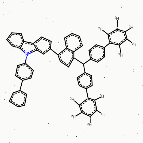 [2H]c1c([2H])c([2H])c(-c2ccc(C(c3ccc(-c4c([2H])c([2H])c([2H])c([2H])c4[2H])cc3)c3ccc(-c4ccc5c6ccccc6n(-c6ccc(-c7ccccc7)cc6)c5c4)c4ccccc34)cc2)c([2H])c1[2H]